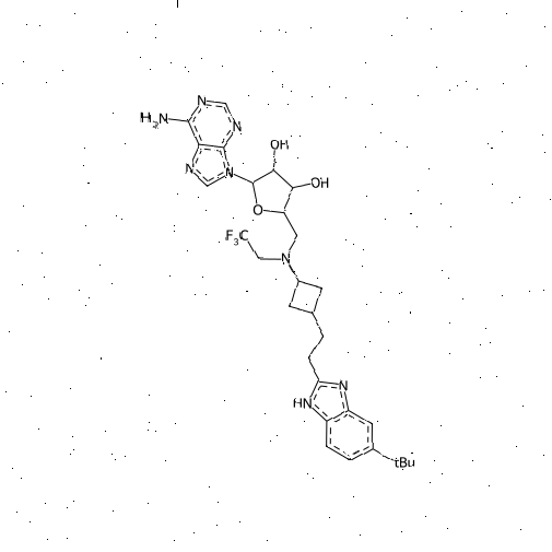 CC(C)(C)c1ccc2[nH]c(CCC3CC(N(CC4OC(n5cnc6c(N)ncnc65)C(O)C4O)CC(F)(F)F)C3)nc2c1